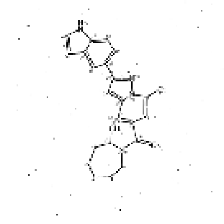 CCc1cc(C(=O)N2CCCCCC2C)nc2cc(-c3ccc4[nH]ccc4c3)nn12